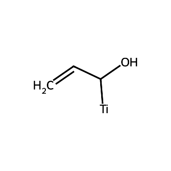 C=C[CH](O)[Ti]